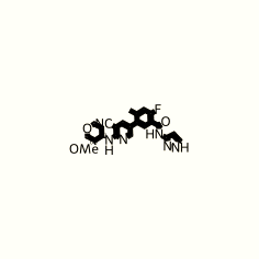 CO[C@@H]1COCC[C@@H]1Nc1ncc(-c2cc(C(=O)Nc3cc[nH]n3)c(F)cc2C)cc1C#N